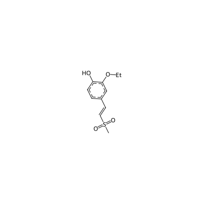 CCOc1cc(C=CS(C)(=O)=O)ccc1O